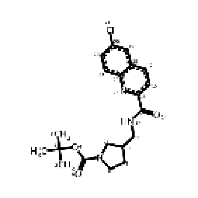 CC(C)(C)OC(=O)N1CCC(CNC(=O)c2ccc3cc(Cl)ccc3n2)C1